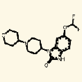 O=c1[nH]c2ccc(OC(F)F)cc2n1C1CCN(C2CCOCC2)CC1